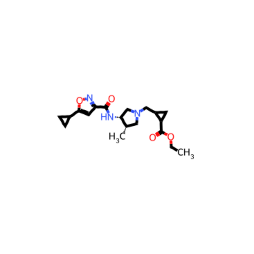 CCOC(=O)C1CC1CN1C[C@H](C)[C@H](NC(=O)c2cc(C3CC3)on2)C1